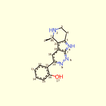 C[C@H]1NCCc2[nH]c3nnc(-c4ccccc4O)cc3c21